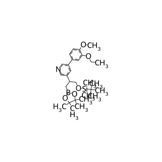 CCOc1cc(-c2cncc(C(CO[Si](C)(C)C(C)(C)C)CB3OC(C)(C)C(C)(C)O3)c2)ccc1OC